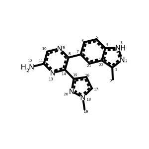 Cc1n[nH]c2ccc(-c3ncc(N)nc3-c3ccn(C)n3)cc12